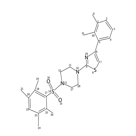 Cc1cccc(-c2csc(N3CCN(S(=O)(=O)c4c(C)c(C)cc(C)c4C)CC3)n2)c1C